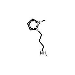 C[n+]1cccn1CCCN